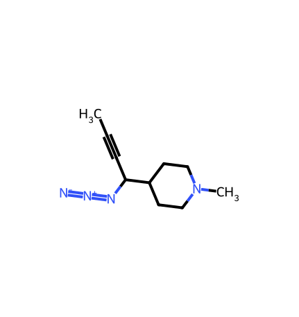 CC#CC(N=[N+]=[N-])C1CCN(C)CC1